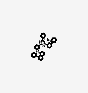 c1cc(-c2nc(-c3cccc4c3sc3ccccc34)c3oc4ccccc4c3n2)cc(N2c3ccccc3-c3cccc4cccc2c34)c1